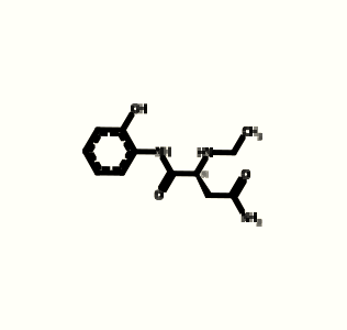 CCN[C@@H](CC(N)=O)C(=O)Nc1ccccc1O